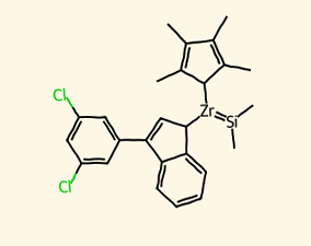 CC1=C(C)[CH]([Zr]([CH]2C=C(c3cc(Cl)cc(Cl)c3)c3ccccc32)=[Si](C)C)C(C)=C1C